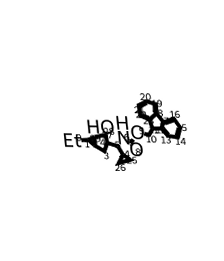 CCC1C2CC(C(NC(=O)OCC3c4ccccc4-c4ccccc43)C3CC3)C(O)C12